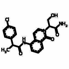 CC(C(=O)Nc1cccc2c(=O)n(C(CO)C(N)=O)ccc12)c1ccc(Cl)cc1